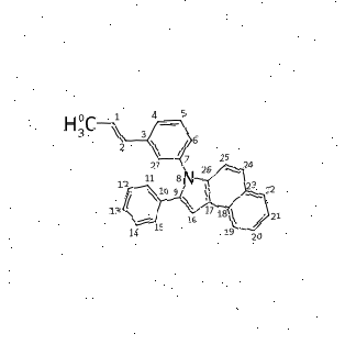 C/C=C/c1cccc(-n2c(-c3ccccc3)cc3c4ccccc4ccc32)c1